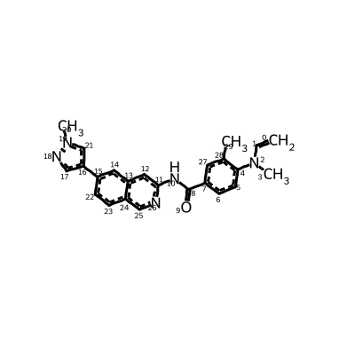 C=CN(C)c1ccc(C(=O)Nc2cc3cc(-c4cnn(C)c4)ccc3cn2)cc1C